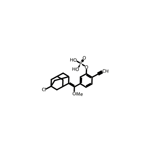 C#Cc1ccc(C(OC)=C2C3CC4CC2CC(Cl)(C4)C3)cc1OP(=O)(O)O